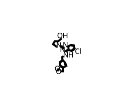 OCC1CCCN1c1nc(NCc2ccc3c(c2)OOC3)c2cc(Cl)ccc2n1